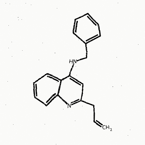 C=CCc1cc(NCc2ccccc2)c2ccccc2n1